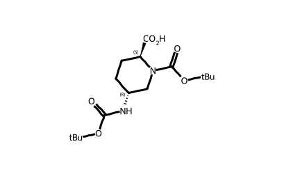 CC(C)(C)OC(=O)N[C@@H]1CC[C@@H](C(=O)O)N(C(=O)OC(C)(C)C)C1